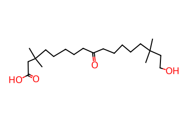 CC(C)(CCO)CCCCCC(=O)CCCCCC(C)(C)CC(=O)O